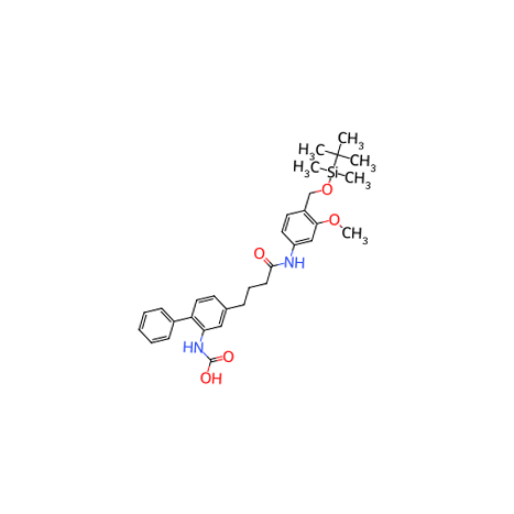 COc1cc(NC(=O)CCCc2ccc(-c3ccccc3)c(NC(=O)O)c2)ccc1CO[Si](C)(C)C(C)(C)C